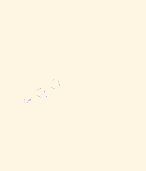 CCCCCCCCC1CCC(CCc2ccc(-c3ccc(C#N)cn3)cc2)CC1